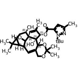 CC1=C[C@]23C(O)[C@@H](C=C4COC(C)(C)O[C@H]4[C@]2(O)[C@H]1OC(=O)c1cc(C)nn1C(C)(C)C)[C@H]1[C@@H](C[C@H]3C)C1(C)C